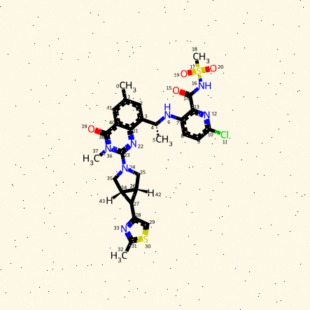 Cc1cc([C@@H](C)Nc2ccc(Cl)nc2C(=O)NS(C)(=O)=O)c2nc(N3C[C@@H]4C(c5csc(C)n5)[C@@H]4C3)n(C)c(=O)c2c1